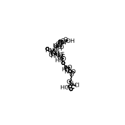 COc1cc2c(cc1OCCCCC(=O)N1CC(CCl)c3c1cc(O)c1cccc(C)c31)N=C[C@@H]1CC(c3ccc(NC(=O)C(OCNC(=O)CNC(=O)[C@H](CC4C=CC=CC4)NC(=O)CNC(=O)CNC(=O)C(CNCC(=O)O)N4C(=O)C=CC4=O)C(F)(F)F)cc3)=CN1C2=O